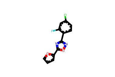 Fc1cc(Cl)ccc1-c1noc(-c2ccco2)n1